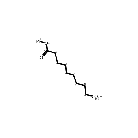 CC(C)OC(=O)CCCCCCCCC(=O)O